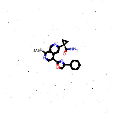 CNc1ncc(-c2nc(-c3ccccc3)co2)c2cc(C3(C(N)=O)CC3)ncc12